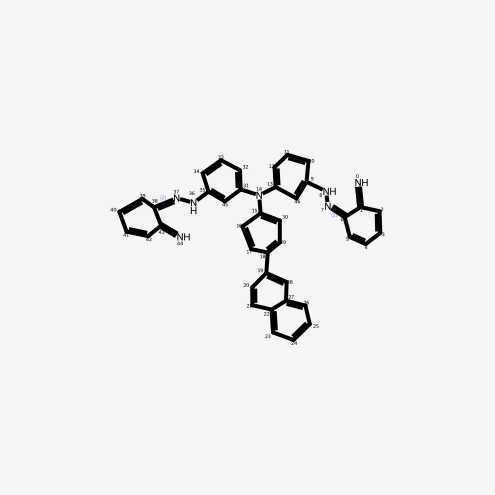 N=C1C=CC=C/C1=N/Nc1cccc(N(c2ccc(-c3ccc4ccccc4c3)cc2)c2cccc(N/N=C3/C=CC=CC3=N)c2)c1